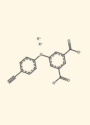 C#Cc1ccc(Oc2cc(C(=O)[O-])cc(C(=O)[O-])c2)cc1.[K+].[K+]